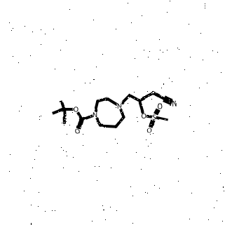 CC(C)(C)OC(=O)N1CCCN(CC(CC#N)OS(C)(=O)=O)CC1